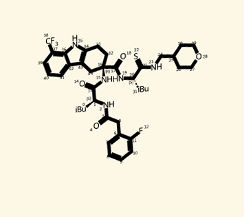 CCC(C)[C@H](NC(=O)Cc1ccccc1F)C(=O)N[C@]1(C(=O)N[C@H](C(=S)NCC2CCOCC2)C(C)CC)CCc2[nH]c3c(C(F)(F)F)cccc3c2C1